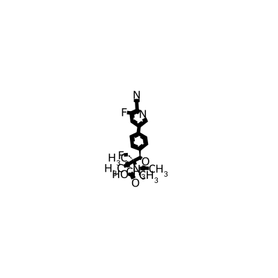 CC1(C)O[C@H](c2ccc(-c3cnc(C#N)c(F)c3)cc2)[C@](CF)(C(C)(C)C)N1C(=O)O